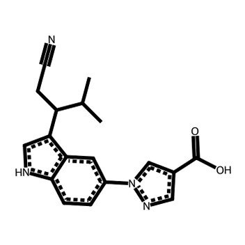 CC(C)C(CC#N)c1c[nH]c2ccc(-n3cc(C(=O)O)cn3)cc12